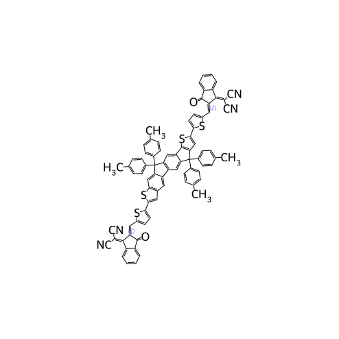 Cc1ccc(C2(c3ccc(C)cc3)c3cc4c(cc3-c3cc5cc(-c6ccc(/C=C7\C(=O)c8ccccc8C7=C(C#N)C#N)s6)sc5cc32)C(c2ccc(C)cc2)(c2ccc(C)cc2)c2cc(-c3ccc(/C=C5\C(=O)c6ccccc6C5=C(C#N)C#N)s3)sc2-4)cc1